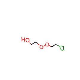 OCCOOCCCl